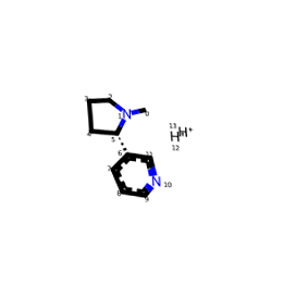 CN1CCC[C@H]1c1cccnc1.[H+].[H+]